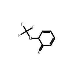 FC(F)(F)OC1C=C[C]=CC1=S